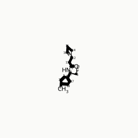 Cc1ccc([C@H](CF)NC(=O)CCN2CCC2)cc1